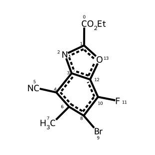 CCOC(=O)c1nc2c(C#N)c(C)c(Br)c(F)c2o1